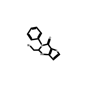 O=C1c2sccc2NC(CBr)N1c1ccccc1